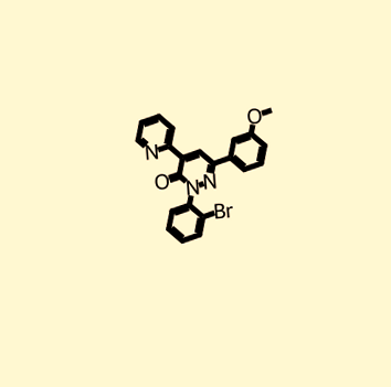 COc1cccc(-c2cc(-c3ccccn3)c(=O)n(-c3ccccc3Br)n2)c1